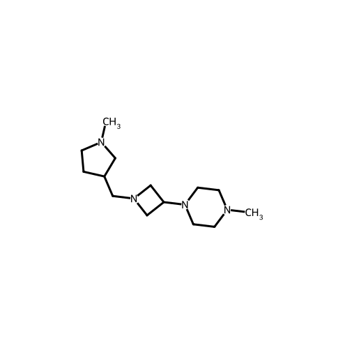 CN1CCN(C2CN(CC3CCN(C)C3)C2)CC1